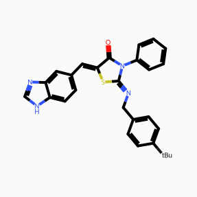 CC(C)(C)c1ccc(CN=C2SC(=Cc3ccc4[nH]cnc4c3)C(=O)N2c2ccccc2)cc1